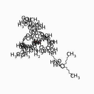 CCCCCCc1ccc(NC(=O)NCCCCNCc2c(O)cc3c(c2C)-c2cc(ccc2O)[C@H]2NC(=O)[C@@H]4NC(=O)[C@H](CC(N)=O)NC(=O)[C@H](NC(=O)[C@@H](CC(C)C)NC)[C@H](O)c5ccc(c(C)c5)Oc5cc4cc(c5O[C@@H]4O[C@H](CO)[C@@H](O)[C@H](O)[C@H]4O[C@H]4C[C@]5(C)NC(=O)O[C@@H]5[C@H](C)O4)Oc4ccc(cc4Cl)[C@@H](O)[C@H](NC2=O)C(=O)N[C@@H]3C(=O)O)cc1CCCCCC